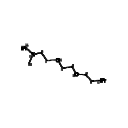 CC(C)CCOCCOCCN(C)C(C)C